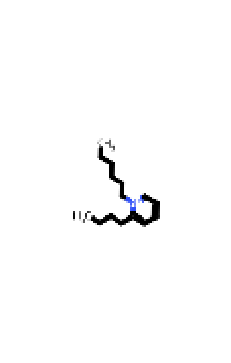 CCCCCC[n+]1ccccc1CCCC